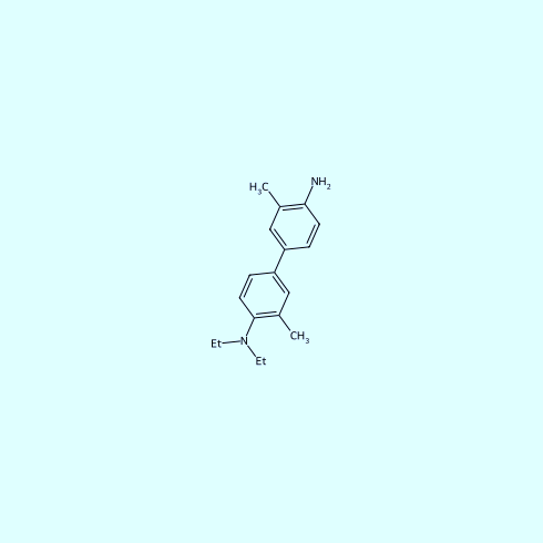 CCN(CC)c1ccc(-c2ccc(N)c(C)c2)cc1C